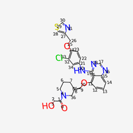 O=C(CO)N1CCC[C@@H](COc2cccc3ncnc(Nc4ccc(OCc5cscn5)c(Cl)c4)c23)C1